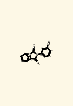 O=C1C2C3C=CC(C3)N2C(=O)N1c1cccc(Cl)c1